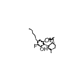 C=C(C)[C@@H]1CCC(C)=C[C@H]1c1c(O)cc(CCCCC)c(F)c1O